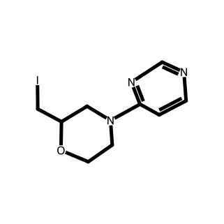 ICC1CN(c2ccncn2)CCO1